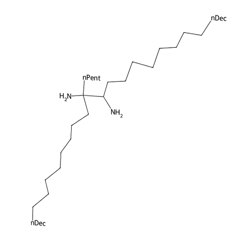 CCCCCCCCCCCCCCCCCCC(N)C(N)(CCCCC)CCCCCCCCCCCCCCCCCC